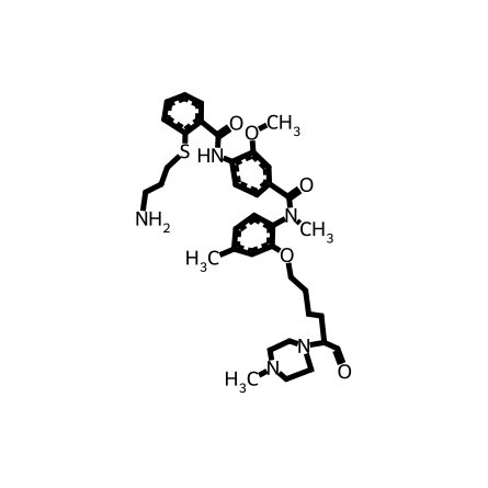 COc1cc(C(=O)N(C)c2ccc(C)cc2OCCCCC(C=O)N2CCN(C)CC2)ccc1NC(=O)c1ccccc1SCCCN